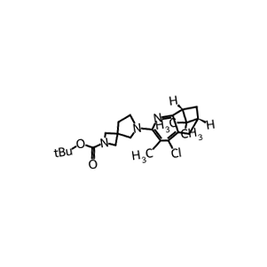 Cc1c(N2CCC3(CN(C(=O)OC(C)(C)C)C3)C2)nc2c(c1Cl)C[C@H]1C[C@@H]2C1(C)C